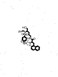 CCOC(=O)NC(Cc1cccc2ccccc12)C(=O)NCCCC(CO)N(CC(C)C)S(=O)(=O)c1ccc(N)cc1